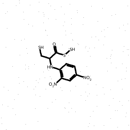 O=C(SS)C(CS)Nc1ccc([N+](=O)[O-])cc1[N+](=O)[O-]